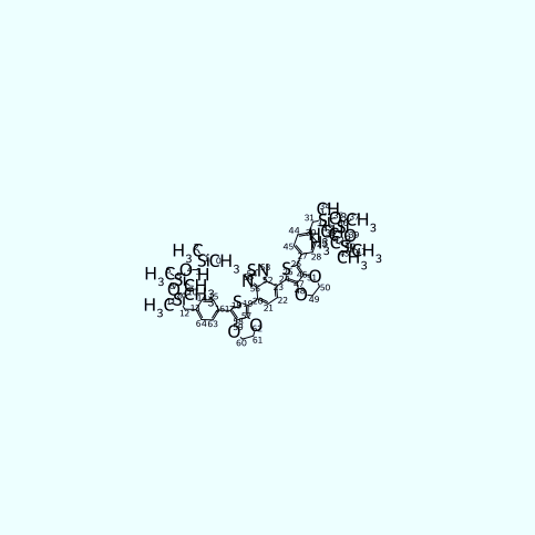 C[SiH](C)CO[Si](C)(C)O[Si](C)(C)Cc1ccc(-c2sc(-c3ccc(-c4sc(-c5ccc(C[Si](C)(C)O[Si](C)(C)O[Si](C)(C)C)cc5)c5c4OCCO5)c4nsnc34)c3c2OCCO3)cc1